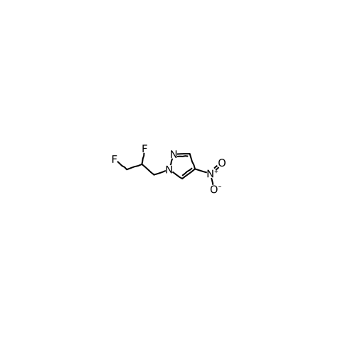 O=[N+]([O-])c1cnn(CC(F)CF)c1